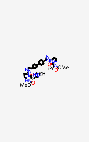 COC(=O)N[C@@H](Cc1cn(C)cn1)C(=O)N1CCC[C@H]1c1ncc(-c2ccc(-c3ccc(-c4cnc([C@@H]5CCCN5C(=O)[C@@H](NC(=O)OC)C(C)C)[nH]4)cc3)cc2)[nH]1